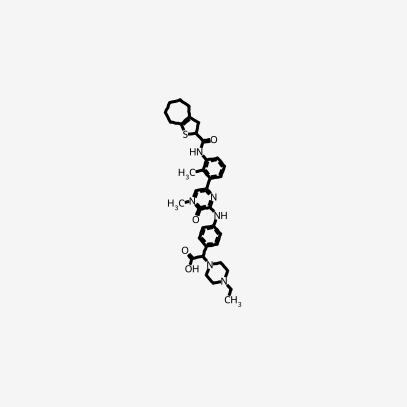 CCN1CCN(C(C(=O)O)c2ccc(Nc3nc(-c4cccc(NC(=O)C5CC6=C(CCCCC6)S5)c4C)cn(C)c3=O)cc2)CC1